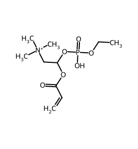 C=CC(=O)OC(C[N+](C)(C)C)OP(=O)(O)OCC